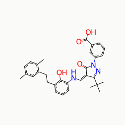 Cc1ccc(C)c(CCc2cccc(N/C=C3\C(=O)N(c4cccc(C(=O)O)c4)N=C3C(C)(C)C)c2O)c1